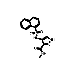 CNC(=O)c1n[nH]cc1NS(=O)(=O)c1cccc2ccccc12